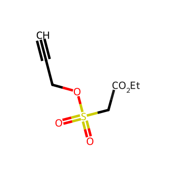 C#CCOS(=O)(=O)CC(=O)OCC